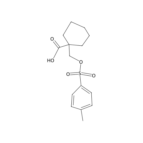 Cc1ccc(S(=O)(=O)OCC2(C(=O)O)CCCCC2)cc1